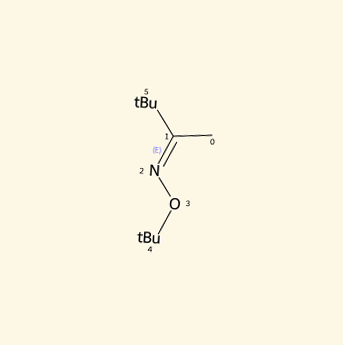 C/C(=N\OC(C)(C)C)C(C)(C)C